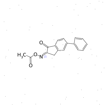 CC(=O)O/N=C1/Cc2cc(-c3ccccc3)ccc2C1=O